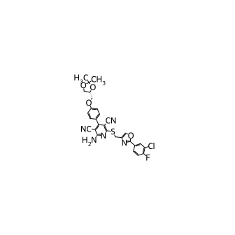 CC1(C)OC[C@@H](COc2ccc(-c3c(C#N)c(N)nc(SCc4coc(-c5ccc(F)c(Cl)c5)n4)c3C#N)cc2)O1